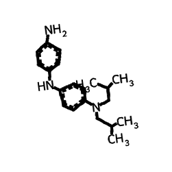 CC(C)CN(CC(C)C)c1ccc(Nc2ccc(N)cc2)cc1